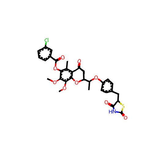 COc1c(OC(=O)c2cccc(Cl)c2)c(C)c2c(c1OC)OC(C(C)Oc1ccc(CC3SC(=O)NC3=O)cc1)CC2=O